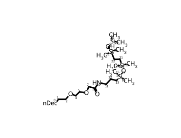 CCCCCCCCCCCCOCCOCC(=O)NCCC[Si](C)(C)O[Si](C)(C)CC[Si](C)(C)O[SiH](C)C